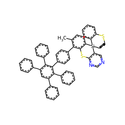 Cc1ccc2c(c1-c1ccc(-c3c(-c4ccccc4)c(-c4ccccc4)cc(-c4ccccc4)c3-c3ccccc3)cc1)Sc1ncncc1[Si]21c2ccccc2Sc2ccccc21